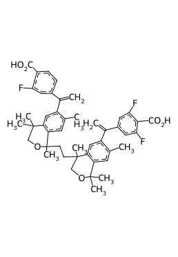 C=C(c1ccc(C(=O)O)c(F)c1)c1cc2c(cc1C)C(C)(CCC1(C)COC(C)(C)c3cc(C)c(C(=C)c4cc(F)c(C(=O)O)c(F)c4)cc31)OCC2(C)C